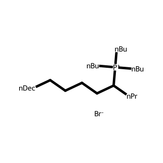 CCCCCCCCCCCCCCC(CCC)[P+](CCCC)(CCCC)CCCC.[Br-]